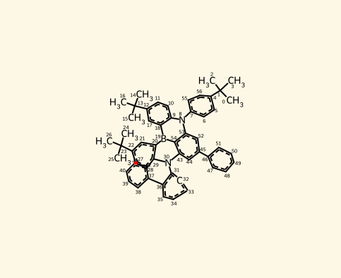 CC(C)(C)c1ccc(N2c3ccc(C(C)(C)C)cc3B3c4cc(C(C)(C)C)ccc4N(c4ccccc4-c4ccccc4)c4cc(-c5ccccc5)cc2c43)cc1